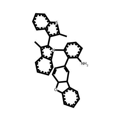 Cc1sc2ccccc2c1-c1c(C)c2ccccc2n1-c1cccc(N)c1C1=CC2c3ccccc3OC2C=C1